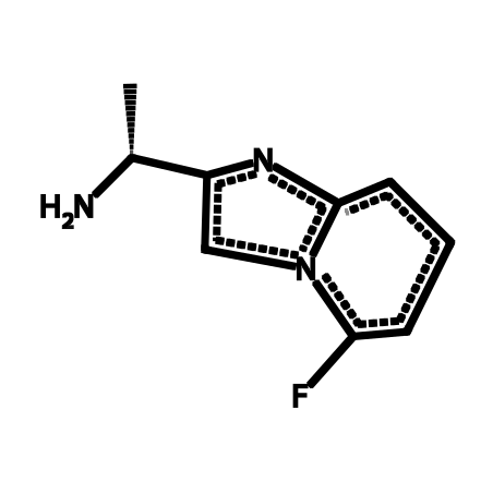 C[C@@H](N)c1cn2c(F)cccc2n1